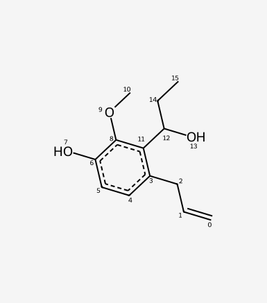 C=CCc1ccc(O)c(OC)c1C(O)CC